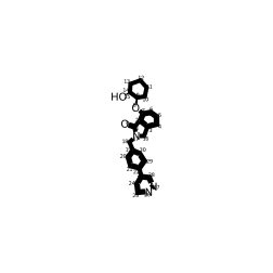 O=C1c2c(cccc2O[C@@H]2CCCC[C@H]2O)CN1Cc1ccc(-c2ccnnc2)cc1